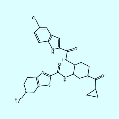 CN1CCc2nc(C(=O)NC3CN(C(=O)C4CC4)CCC3NC(=O)c3cc4cc(Cl)ccc4[nH]3)sc2C1